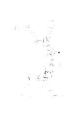 CCCCCCCCCCCCCCCC(=O)OCC(COP(=O)(O)OCC(O)COP(=O)(O)OCC(COC(=O)CCCCCCCCCCCCCCC)OC(=O)CCCCCCCCCCCCCCC)OC(=O)CCCCCCCCCCCCCCC